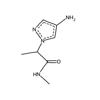 CNC(=O)C(C)n1cc(N)cn1